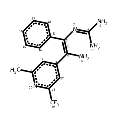 Cc1cc(/C(N)=C(/N=C(N)N)c2ccccc2)cc(C(F)(F)F)n1